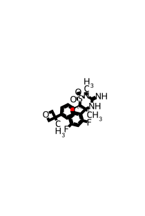 CN1C(=N)N[C@](C)(c2c(F)cc(F)cc2F)[C@@H](c2ccc(C3(C)COC3)cc2)S1(=O)=O